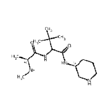 CN[C@@H](C)C(=O)NC(C(=O)N[C@H]1CCCNC1)C(C)(C)C